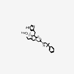 C/C=C/CN(CC(=O)NCC(C)(C)c1ccccc1)C(=O)C(Cc1c[nH]cn1)NC(=O)O